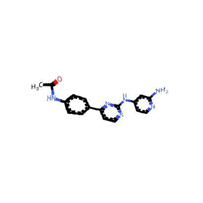 CC(=O)Nc1ccc(-c2ccnc(Nc3ccnc(N)c3)n2)cc1